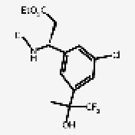 CCOC(=O)C[C@H](NCl)c1cc(Cl)cc(C(C)(O)C(F)(F)F)c1